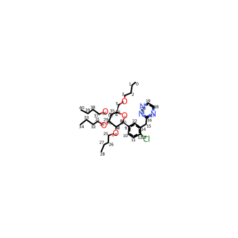 CCCCOC[C@H]1O[C@@H](c2ccc(Cl)c(Cc3nccnn3)c2)[C@H](OCCCC)[C@@H](OCCCC)[C@@H]1OCCCC